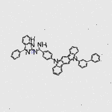 N=C(/N=c1/nc(-c2ccccc2)c2ccccc2[nH]1)c1ccc(-n2c3ccccc3c3cc4c(cc32)c2ccccc2n4-c2cccc(-c3ccccc3)c2)cc1